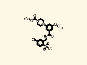 CCS(=O)(=O)c1ccc(Cl)cc1CNC(=O)c1cc(OC(F)(F)F)cc(N2CCN(C(=O)OC(C)(C)C)CC2)c1